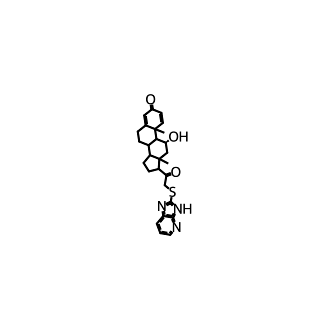 CC12C=CC(=O)C=C1CCC1C2[C@@H](O)CC2(C)C(C(=O)CSc3nc4cccnc4[nH]3)CCC12